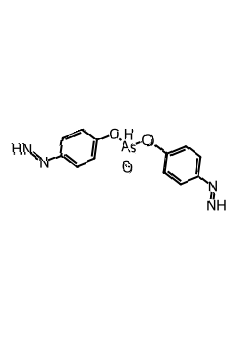 N=Nc1ccc(O[AsH](=O)Oc2ccc(N=N)cc2)cc1